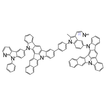 C=N/C=C\c1c(C)n(-c2ccc(-c3ccc4c(c3)c3cc5c6ccccc6n(-c6ccc7c(c6)c6cccnc6n7-c6ccccc6)c5c5c6cc7ccccc7cc6n4c35)cc2)c2ccc(-n3c4ccccc4c4cc5c6ccccc6n6c7cc8ccccc8cc7c(c43)c56)cc12